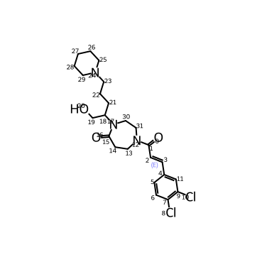 O=C(/C=C/c1ccc(Cl)c(Cl)c1)N1CCC(=O)N(C(CO)CCCN2CCCCC2)CC1